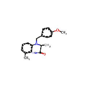 COc1ccc(CN2c3cccc(C)c3NC(=O)C2C)cc1